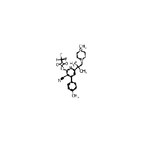 Cc1ccc(-c2cc(C(C)(C)CN3CCN(C)CC3)nc(OS(=O)(=O)C(F)(F)F)c2C#N)cc1